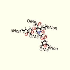 CCCCCCCCC/C=C/CC(CC(=O)OC(C)CN(CC(C)OC(=O)C(C/C=C/CCCCCCCCC)CC(=O)COC)C(=O)C(C/C=C/CCCCCCCCC)CC(=O)COC)C(=O)COC